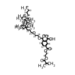 C=C(C)C(=O)OCCOC(=O)c1ccc(C(=O)OCCOCCCC(C)(CC)[Si](C)(C)OC(C)(C)[Si](C)(C)CCCC)c(C(=O)O)c1